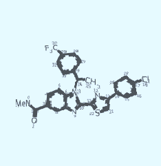 CNC(=O)c1ccc2c(c1)nc(-c1nc(-c3ccc(Cl)cc3)cs1)n2C(C)c1ccc(C(F)(F)F)cc1